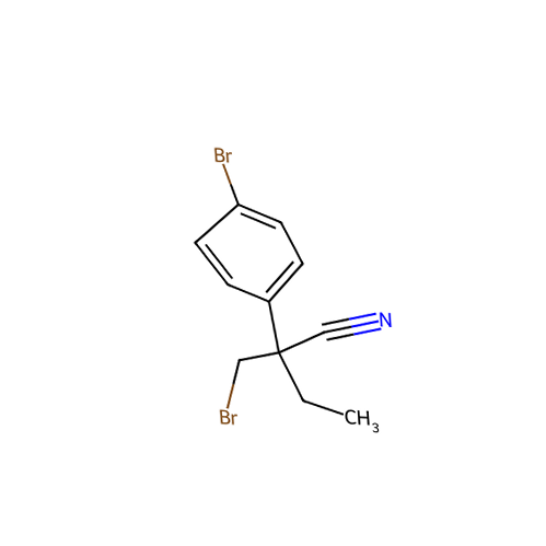 CCC(C#N)(CBr)c1ccc(Br)cc1